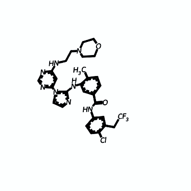 Cc1ccc(C(=O)Nc2ccc(Cl)c(CC(F)(F)F)c2)cc1Nc1nccn1-c1cc(NCCN2CCOCC2)ncn1